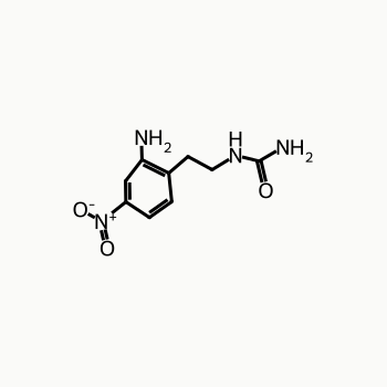 NC(=O)NCCc1ccc([N+](=O)[O-])cc1N